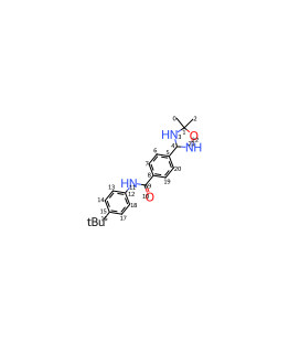 CC1(C)NC(c2ccc(C(=O)Nc3ccc(C(C)(C)C)cc3)cc2)NO1